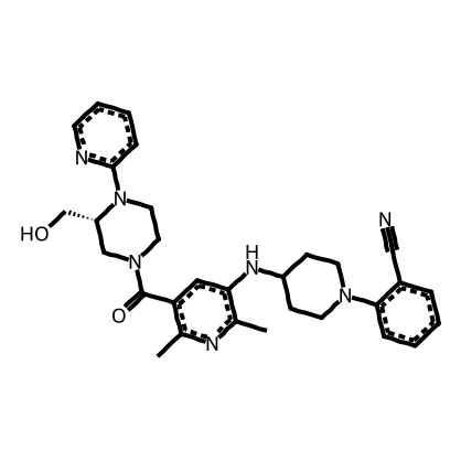 Cc1nc(C)c(C(=O)N2CCN(c3ccccn3)[C@@H](CO)C2)cc1NC1CCN(c2ccccc2C#N)CC1